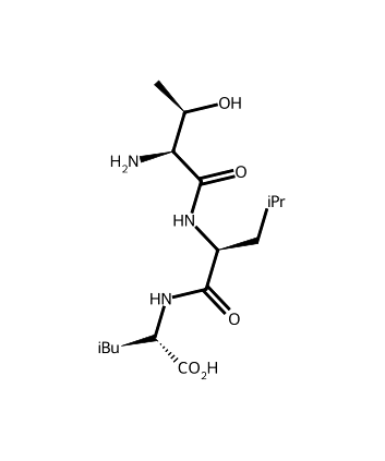 CC[C@H](C)[C@H](NC(=O)[C@H](CC(C)C)NC(=O)[C@@H](N)[C@@H](C)O)C(=O)O